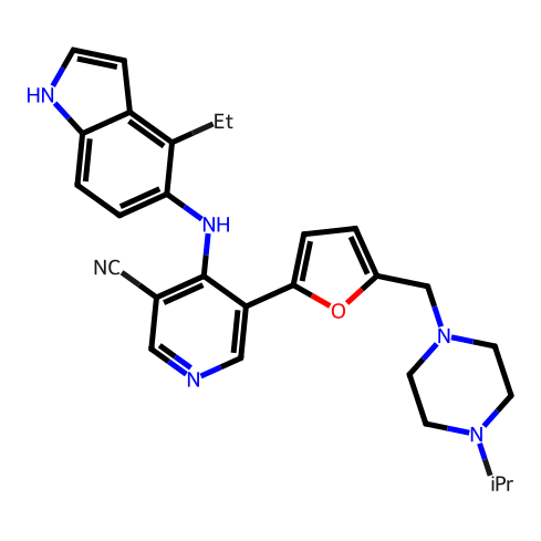 CCc1c(Nc2c(C#N)cncc2-c2ccc(CN3CCN(C(C)C)CC3)o2)ccc2[nH]ccc12